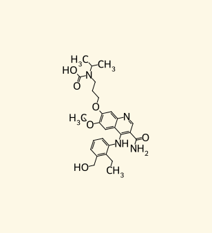 CCc1c(CO)cccc1Nc1c(C(N)=O)cnc2cc(OCCCN(C(=O)O)C(C)C)c(OC)cc12